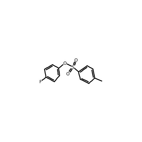 Cc1ccc(S(=O)(=O)Oc2ccc(F)cc2)cc1